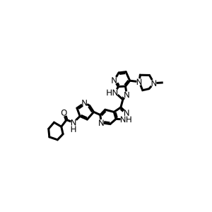 CN1CCN(c2ccnc3[nH]c(-c4n[nH]c5cnc(-c6cncc(NC(=O)C7CCCCC7)c6)cc45)nc23)CC1